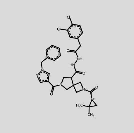 CC1(C)C[C@@H]1C(=O)N1CC2(CN(C(=O)c3cnn(Cc4ccccc4)c3)CC2C(=O)NNC(=O)Cc2ccc(Cl)c(Cl)c2)C1